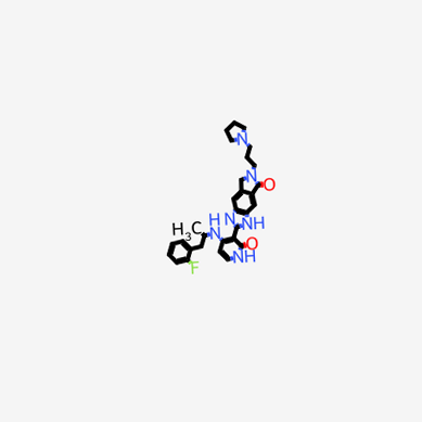 CC(Cc1ccccc1F)Nc1cc[nH]c(=O)c1-c1nc2cc3c(cc2[nH]1)C(=O)N(CCCN1CCCC1)C3